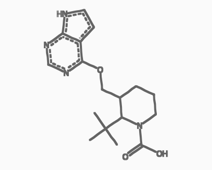 CC(C)(C)C1C(COc2ncnc3[nH]ccc23)CCCN1C(=O)O